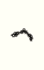 CC1=CCC=C(S(=O)(=O)c2ccc(CCc3ccc(C(=O)c4ccc(CCc5ccc(Oc6ccc(C)cc6)cc5)cc4)cc3)cc2)C=C1